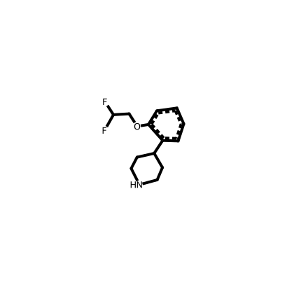 FC(F)COc1ccccc1C1CCNCC1